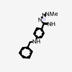 CN/N=N\C(=N)c1ccc(NCc2ccccc2)cc1